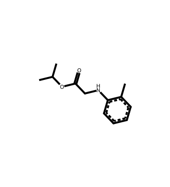 Cc1ccccc1NCC(=O)OC(C)C